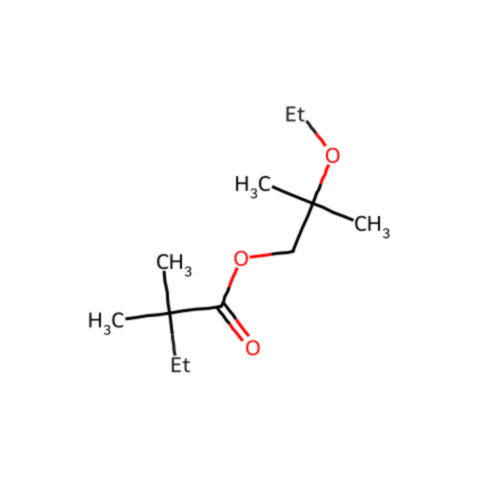 CCOC(C)(C)COC(=O)C(C)(C)CC